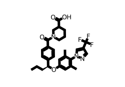 CCC[C@H](Oc1cc(C)c(-n2cc(C(F)(F)F)cn2)c(C)c1)c1ccc(C(=O)N2CCCC(C(=O)O)C2)cc1